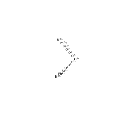 [Ba+2].[Ba+2].[Bi+3].[Bi+3].[O-2].[O-2].[O-2].[O-2].[O-2].[O-2].[O-2].[Pb+2].[Pb+2]